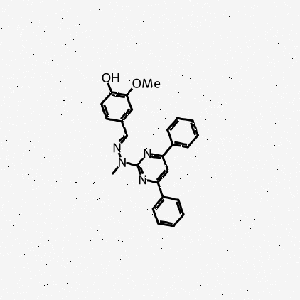 COc1cc(C=NN(C)c2nc(-c3ccccc3)cc(-c3ccccc3)n2)ccc1O